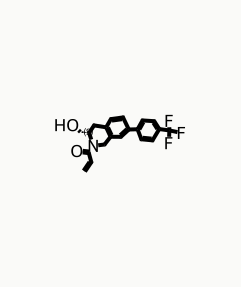 C=CC(=O)N1Cc2cc(-c3ccc(C(F)(F)F)cc3)ccc2C[C@H]1CO